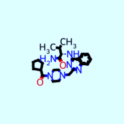 CC(C)[C@H](Nc1nc(CN2CCN(C(=O)C3CCCC3)CC2)nc2ccccc12)C(N)=O